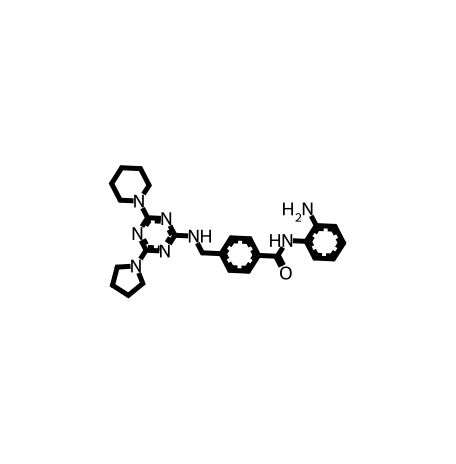 Nc1ccccc1NC(=O)c1ccc(CNc2nc(N3CCCCC3)nc(N3CCCC3)n2)cc1